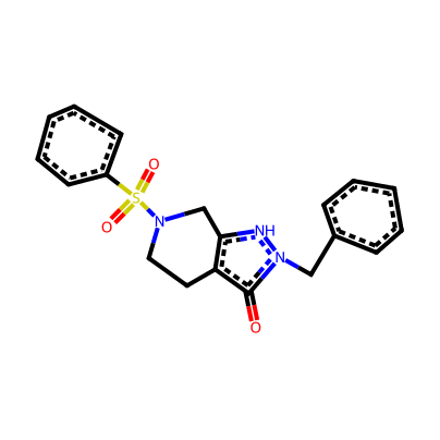 O=c1c2c([nH]n1Cc1ccccc1)CN(S(=O)(=O)c1ccccc1)CC2